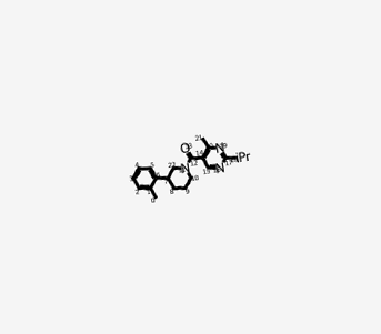 Cc1ccccc1C1CCCN(C(=O)c2cnc(C(C)C)nc2C)C1